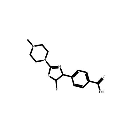 CN1CCN(C2=NC(c3ccc(C(=O)O)cc3)C(F)S2)CC1